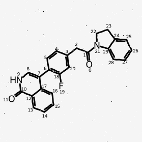 O=C(Cc1ccc(-c2c[nH]c(=O)c3ccccc23)c(F)c1)N1CCc2ccccc21